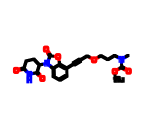 CN(CCCOCC#Cc1cccc2c1oc(=O)n2C1CCC(=O)NC1=O)C(=O)OC(C)(C)C